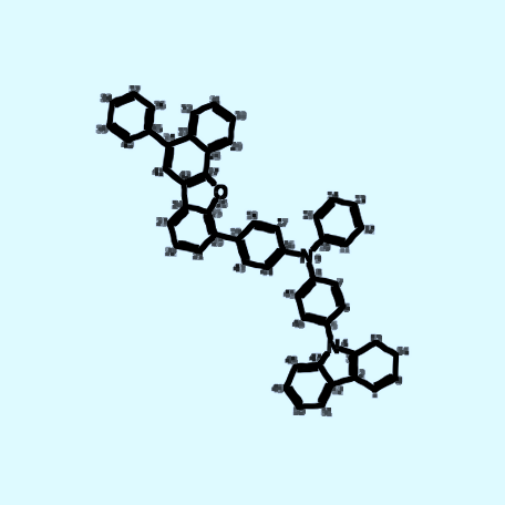 C1=Cc2c(n(-c3ccc(N(c4ccccc4)c4ccc(-c5cccc6c5oc5c7ccccc7c(-c7ccccc7)cc65)cc4)cc3)c3ccccc23)CC1